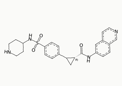 O=C(Nc1ccc2cnccc2c1)[C@@H]1CC1c1ccc(S(=O)(=O)NC2CCNCC2)cc1